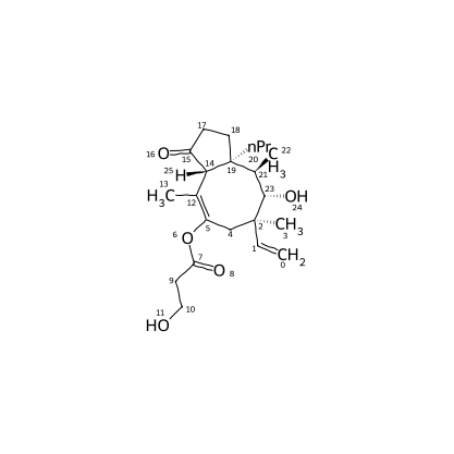 C=C[C@@]1(C)C/C(OC(=O)CCO)=C(/C)[C@@H]2C(=O)CC[C@@]2(CCC)[C@@H](C)[C@@H]1O